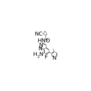 Cc1ccncc1-c1cc2cc(NC(=O)C3CCC3C#N)nnc2c(N)c1F